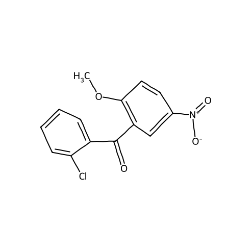 COc1ccc([N+](=O)[O-])cc1C(=O)c1ccccc1Cl